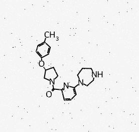 Cc1ccc(OC2CCN(C(=O)c3cccc(N4CCCNCC4)n3)C2)cc1